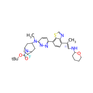 C/C(=C\NC1CCCCO1)c1ccc(-c2ccc(N(C)C3CC4CC(F)(F)C(C3)N4C(=O)OC(C)(C)C)nn2)c2scnc12